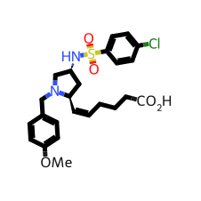 COc1ccc(CN2C[C@H](NS(=O)(=O)c3ccc(Cl)cc3)C[C@H]2/C=C\CCCC(=O)O)cc1